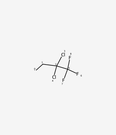 [CH2]CC(Cl)(Cl)C(F)(F)F